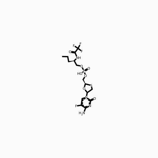 CCC[C@H](COP(=O)(O)OC[C@@H]1OC(n2cc(F)c(N)nc2=O)CS1)NC(=O)C(F)(F)F